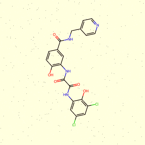 O=C(Nc1cc(C(=O)NCc2ccncc2)ccc1O)C(=O)Nc1cc(Cl)cc(Cl)c1O